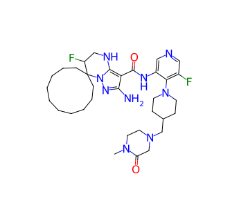 CN1CCN(CC2CCN(c3c(F)cncc3NC(=O)c3c(N)nn4c3NCC(F)C43CCCCCCCCCC3)CC2)CC1=O